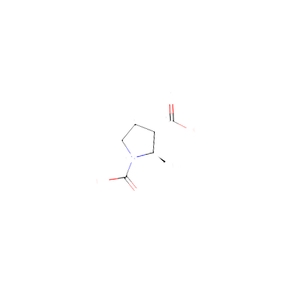 C[C@@H]1[C@@H](C(=O)O)CCN1C(=O)O